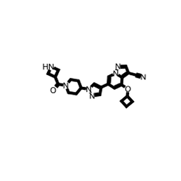 N#Cc1cnn2cc(-c3cnn(C4CCN(C(=O)C5CNC5)CC4)c3)cc(OC3CCC3)c12